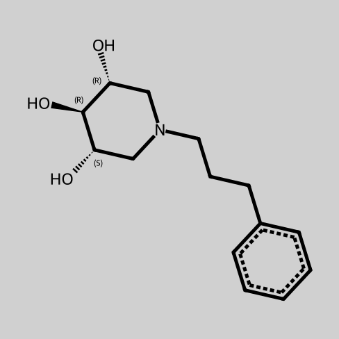 O[C@H]1[C@H](O)CN(CCCc2ccccc2)C[C@@H]1O